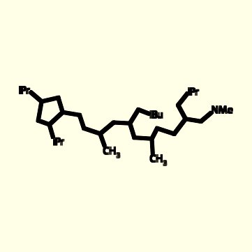 CCC(C)CC(CC(C)CCC(CNC)CC(C)C)CC(C)CCC1CC(C(C)C)CC1C(C)C